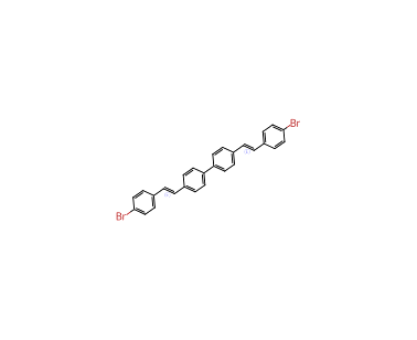 Brc1ccc(/C=C/c2ccc(-c3ccc(/C=C/c4ccc(Br)cc4)cc3)cc2)cc1